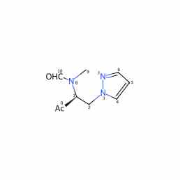 CC(=O)[C@H](Cn1cccn1)N(C)C=O